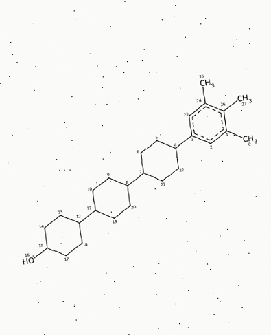 Cc1cc(C2CCC(C3CCC(C4CCC(O)CC4)CC3)CC2)cc(C)c1C